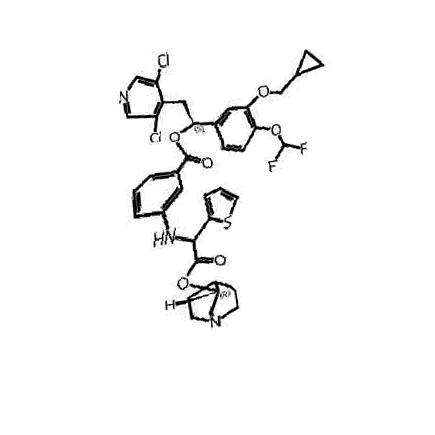 O=C(O[C@@H](Cc1c(Cl)cncc1Cl)c1ccc(OC(F)F)c(OCC2CC2)c1)c1cccc(NC(C(=O)O[C@H]2CN3CCC2CC3)c2cccs2)c1